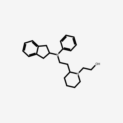 OCCN1CCCCC1CCN(c1ccccc1)C1Cc2ccccc2C1